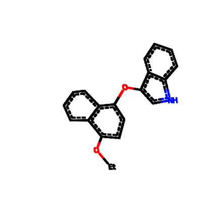 CCOc1ccc(Oc2c[nH]c3ccccc23)c2ccccc12